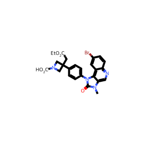 CCOC(=O)CC1(c2ccc(-n3c(=O)n(C)c4cnc5ccc(Br)cc5c43)cc2)CN(C(=O)O)C1